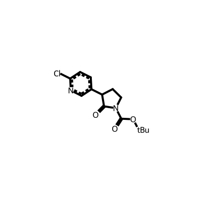 CC(C)(C)OC(=O)N1CCC(c2ccc(Cl)nc2)C1=O